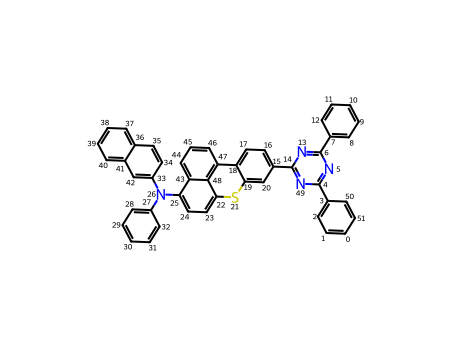 c1ccc(-c2nc(-c3ccccc3)nc(-c3ccc4c(c3)Sc3ccc(N(c5ccccc5)c5ccc6ccccc6c5)c5cccc-4c35)n2)cc1